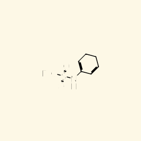 O=S(=O)(NC1=C[CH]CC=C1)C(F)(F)F